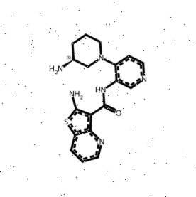 Nc1sc2cccnc2c1C(=O)Nc1cnccc1N1CCC[C@H](N)C1